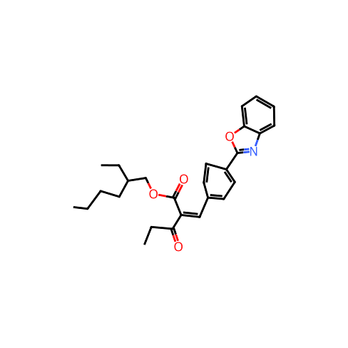 CCCCC(CC)COC(=O)C(=Cc1ccc(-c2nc3ccccc3o2)cc1)C(=O)CC